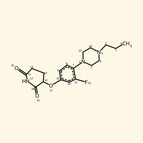 CCCN1CCN(c2ccc(OC3CCC(=O)NC3=O)cc2F)CC1